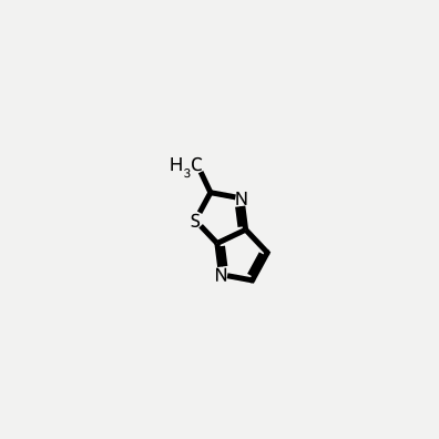 CC1N=C2C=CN=C2S1